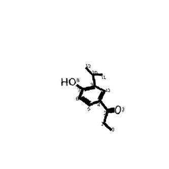 CCC(=O)c1ccc(O)c(C(C)C)c1